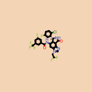 O=C(Nc1cc2c(ncn2CC(F)F)c2c1[C@H](c1cc(F)ccc1Cl)NC2=O)c1cc(F)cc(C(F)(F)F)c1